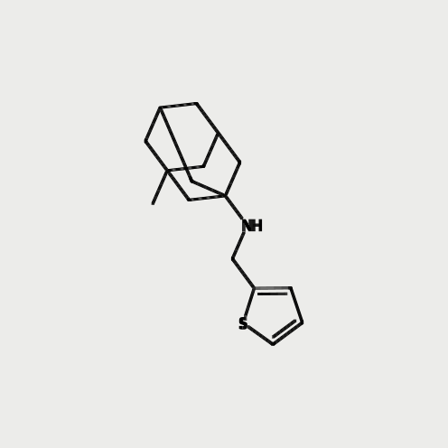 CC12CC3CC(C1)CC(NCc1cccs1)(C3)C2